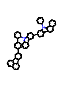 c1ccc(-n2c3cc(-c4ccc5c(c4)c4ccccc4n5-c4ccccc4-c4ccc(-c5ccc6c(c5)-c5cccc7cccc-6c57)cc4)ccc3c3ccc4ccccc4c32)cc1